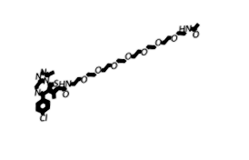 CC(=O)NCCOCCOCCOCCOCCOCCOCCOCCNC(=O)c1sc2c(c1C)C(c1ccc(Cl)cc1)=NCc1nnc(C)n1-2